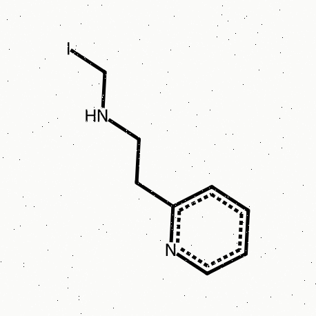 ICNCCc1ccccn1